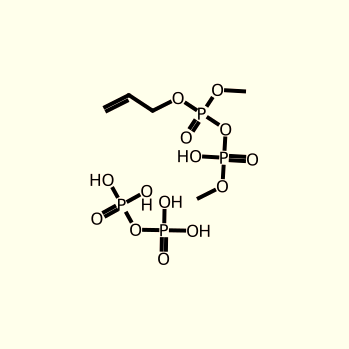 C=CCOP(=O)(OC)OP(=O)(O)OC.O=P(O)(O)OP(=O)(O)O